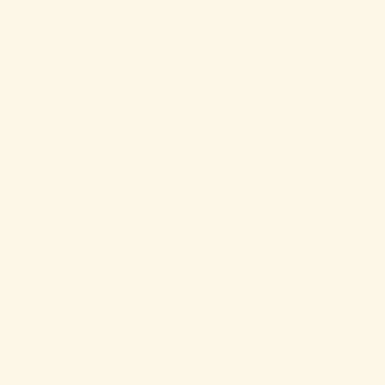 CCC(C)c1cccc(C(C)C)c1